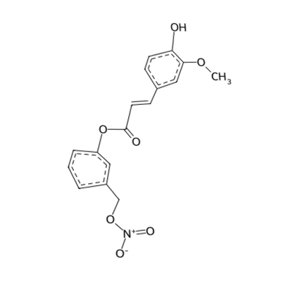 COc1cc(C=CC(=O)Oc2cccc(CO[N+](=O)[O-])c2)ccc1O